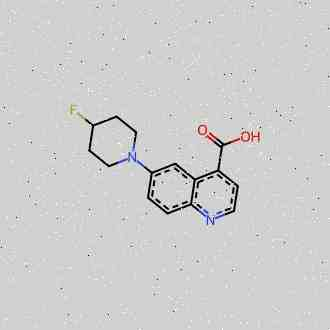 O=C(O)c1ccnc2ccc(N3CCC(F)CC3)cc12